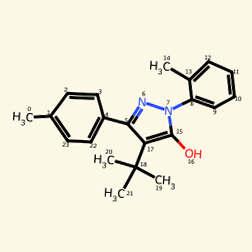 Cc1ccc(-c2nn(-c3ccccc3C)c(O)c2C(C)(C)C)cc1